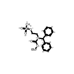 CC(C)(C)OC(=O)N(CCOS(C)(=O)=O)C(c1ccccc1)c1ccccc1